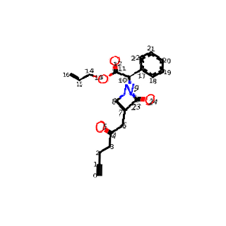 C#CCCC(=O)CC1CN([C@@H](C(=O)OCC=C)c2ccccc2)C1=O